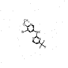 COc1ncc(Nc2nccc(C(F)(F)F)n2)cc1Br